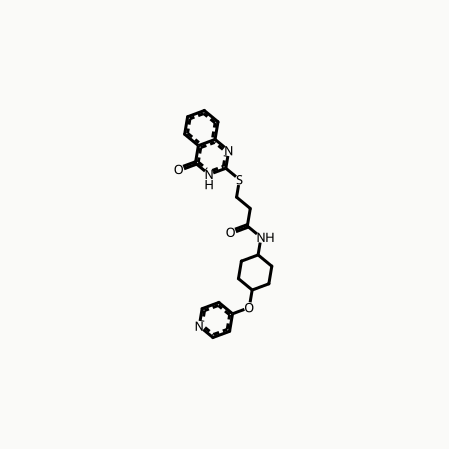 O=C(CCSc1nc2ccccc2c(=O)[nH]1)NC1CCC(Oc2ccncc2)CC1